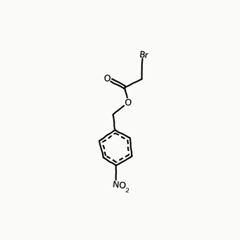 O=C(CBr)OCc1ccc([N+](=O)[O-])cc1